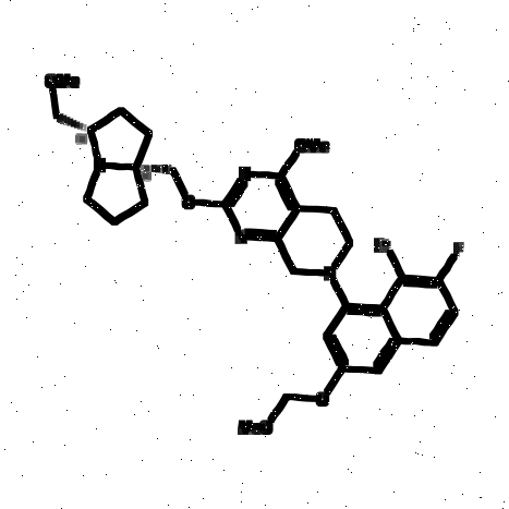 CCc1c(F)ccc2cc(OCOC)cc(N3CCc4c(nc(OC[C@]56CCCN5[C@H](COC)CC6)nc4OC)C3)c12